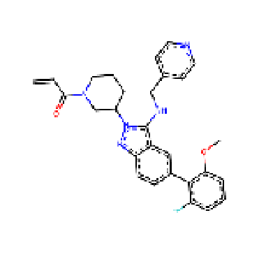 C=CC(=O)N1CCCC(n2nc3ccc(-c4c(F)cccc4OC)cc3c2NCc2ccncc2)C1